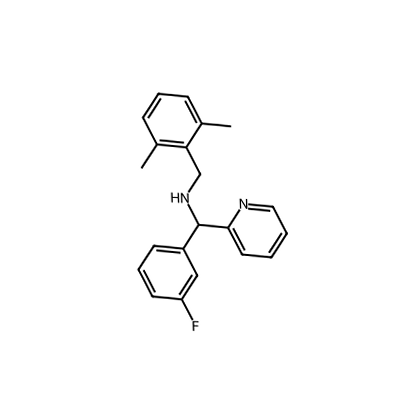 Cc1cccc(C)c1CNC(c1cccc(F)c1)c1ccccn1